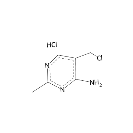 Cc1ncc(CCl)c(N)n1.Cl